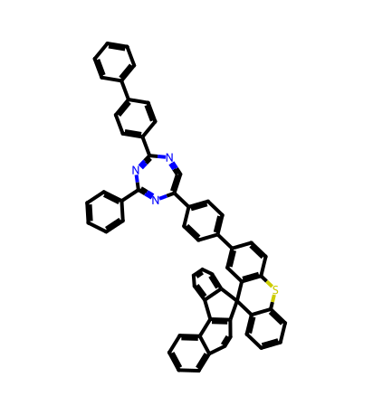 C1=NC(c2ccc(-c3ccccc3)cc2)=NC(c2ccccc2)=NC=1c1ccc(-c2ccc3c(c2)C2(c4ccccc4S3)c3ccccc3-c3c2ccc2ccccc32)cc1